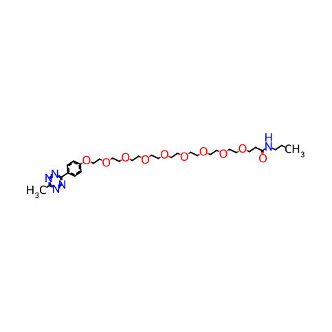 CCCNC(=O)CCOCCOCCOCCOCCOCCOCCOCCOCCOc1ccc(-c2nnc(C)nn2)cc1